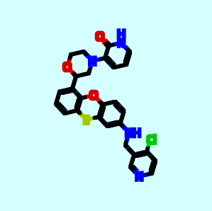 O=c1[nH]cccc1N1CCOC(c2cccc3c2Oc2ccc(NCc4cnccc4Cl)cc2S3)C1